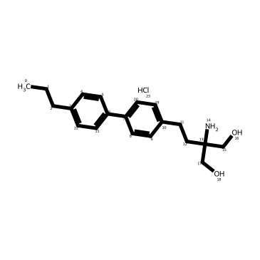 CCCc1ccc(-c2ccc(CCC(N)(CO)CO)cc2)cc1.Cl